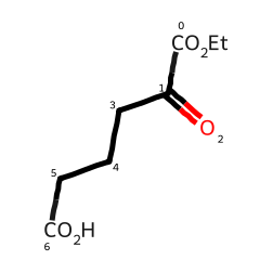 CCOC(=O)C(=O)CCCC(=O)O